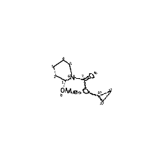 COC1CCCCN1C(=O)OC1CC1